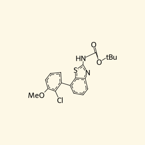 COc1cccc(-c2cccc3nc(NC(=O)OC(C)(C)C)sc23)c1Cl